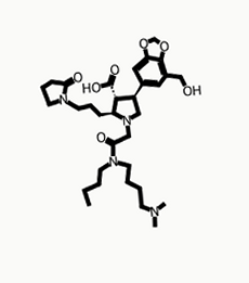 CCCCN(CCCCN(C)C)C(=O)CN1C[C@H](c2cc(CO)c3c(c2)OCO3)[C@@H](C(=O)O)[C@@H]1CCCN1CCCC1=O